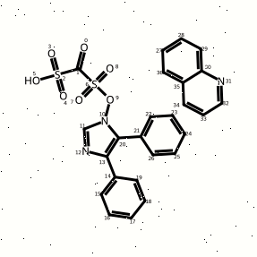 O=C(S(=O)(=O)O)S(=O)(=O)On1cnc(-c2ccccc2)c1-c1ccccc1.c1ccc2ncccc2c1